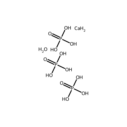 O.O=P(O)(O)O.O=P(O)(O)O.O=P(O)(O)O.[CaH2]